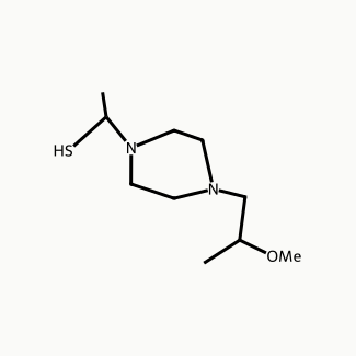 COC(C)CN1CCN(C(C)S)CC1